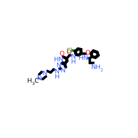 CN1CCN(CCCNc2ncc3cc(C(=O)Nc4cc(C(=O)NC(CCN)c5ccccc5)ccc4Cl)c(=O)[nH]c3n2)CC1